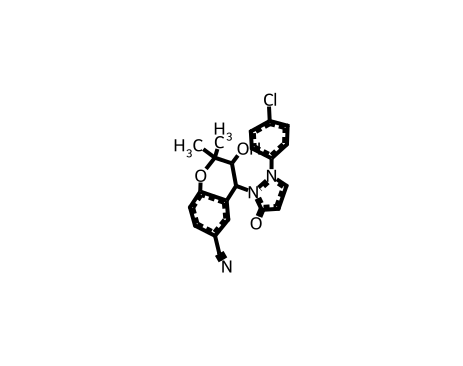 CC1(C)Oc2ccc(C#N)cc2C(n2c(=O)ccn2-c2ccc(Cl)cc2)C1O